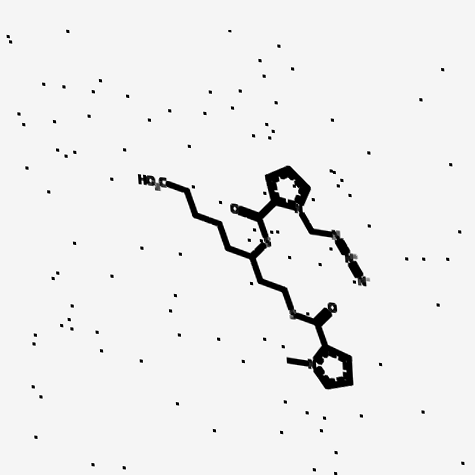 Cn1cccc1C(=O)SCCC(CCCCC(=O)O)SC(=O)c1cccn1CN=[N+]=[N-]